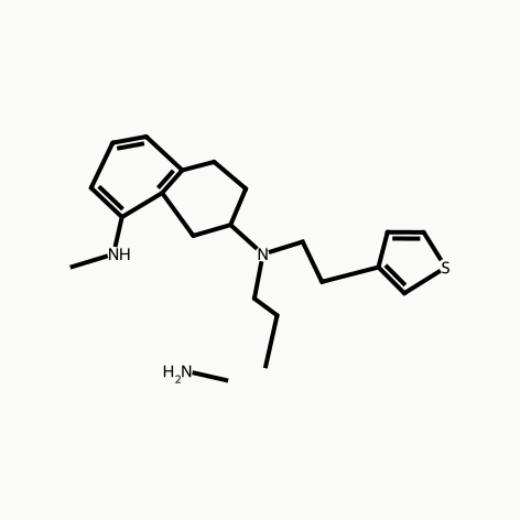 CCCN(CCc1ccsc1)C1CCc2cccc(NC)c2C1.CN